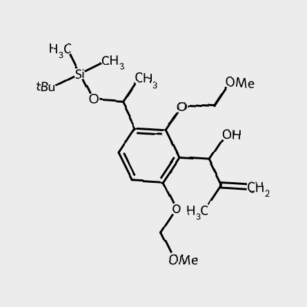 C=C(C)C(O)c1c(OCOC)ccc(C(C)O[Si](C)(C)C(C)(C)C)c1OCOC